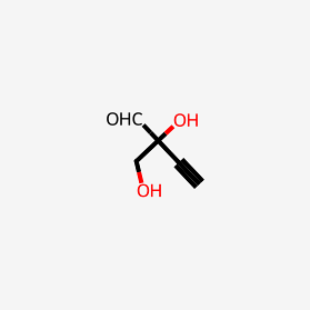 C#CC(O)(C=O)CO